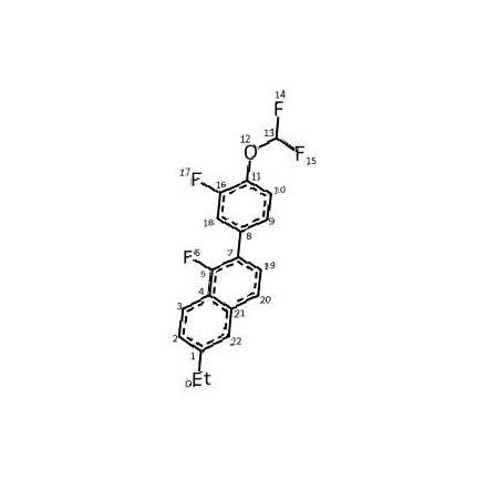 CCc1ccc2c(F)c(-c3ccc(OC(F)F)c(F)c3)ccc2c1